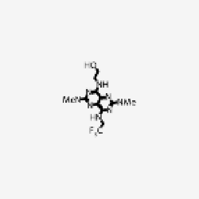 CNc1nc(NCC(F)(F)F)c2nc(NC)nc(NCCO)c2n1